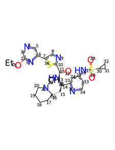 CCOc1cncc(-c2cnc(C(=O)N[C@H](C[C@@H]3CCCCN3C)c3cc(NS(=O)(=O)C4CC4)ccn3)s2)n1